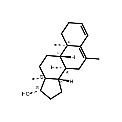 CC1=C2C=CCC[C@]2(C)[C@H]2CC[C@]3(C)[C@@H](O)CC[C@H]3[C@@H]2C1